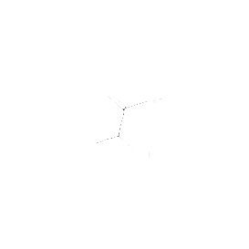 [CH2]C(CC)C(=O)CCC